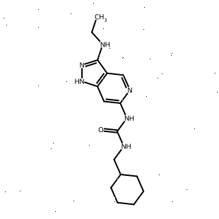 CCNc1n[nH]c2cc(NC(=O)NCC3CCCCC3)ncc12